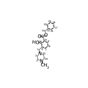 CN1CCN(Cc2cccc(C(=O)OCc3ccccc3)c2O)CC1